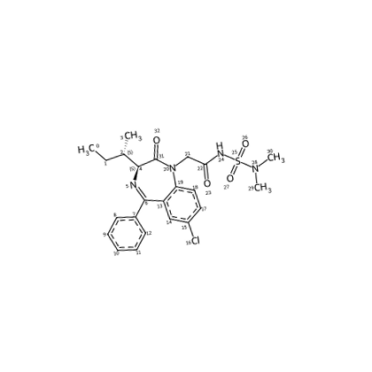 CC[C@H](C)[C@@H]1N=C(c2ccccc2)c2cc(Cl)ccc2N(CC(=O)NS(=O)(=O)N(C)C)C1=O